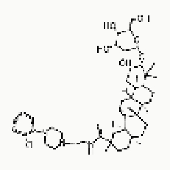 CC1(C(=O)NCCN2CCN(c3ccccc3Cl)CC2)CC[C@]2(C)CC[C@]3(C)C(=CC[C@@H]4[C@@]5(C)CC[C@H](O[C@@H]6O[C@H](CO)[C@@H](O)[C@H](O)[C@H]6O)C(C)(C)C5CC[C@]43C)[C@@H]2C1